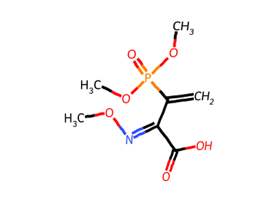 C=C(/C(=N\OC)C(=O)O)P(=O)(OC)OC